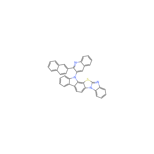 c1ccc2cc(-c3nc4ccccc4cc3-n3c4ccccc4c4ccc5c(sc6nc7ccccc7n65)c43)ccc2c1